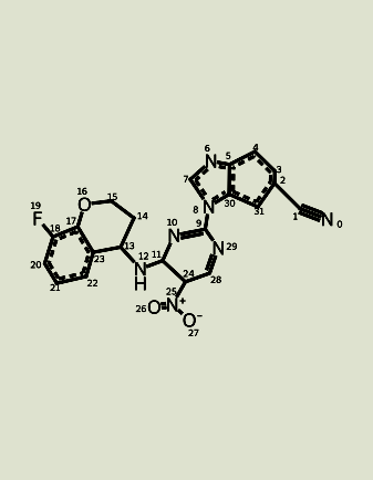 N#Cc1ccc2ncn(C3=NC(NC4CCOc5c(F)cccc54)C([N+](=O)[O-])C=N3)c2c1